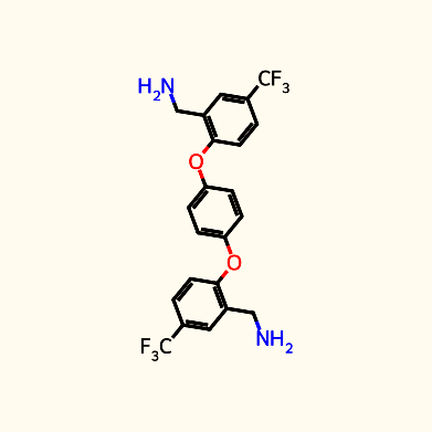 NCc1cc(C(F)(F)F)ccc1Oc1ccc(Oc2ccc(C(F)(F)F)cc2CN)cc1